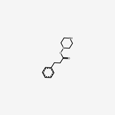 O=C(CCc1ccccc1)ON1CCNCC1